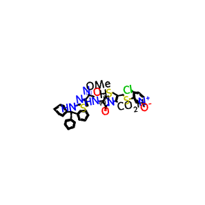 CO/N=C(\C(=O)N[C@@H]1C(=O)N2C(C(=O)O)=C(CSc3c[n+]([O-])ccc3Cl)CS[C@H]12)c1csc(NC(c2ccccc2)(c2ccccc2)c2ccccc2)n1